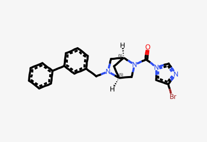 O=C(N1C[C@@H]2C[C@H]1CN2Cc1cccc(-c2ccccc2)c1)n1cnc(Br)c1